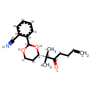 C=CCCC(=O)C(C)(C)[C@@H]1CCOC(c2ccccc2C#N)O1